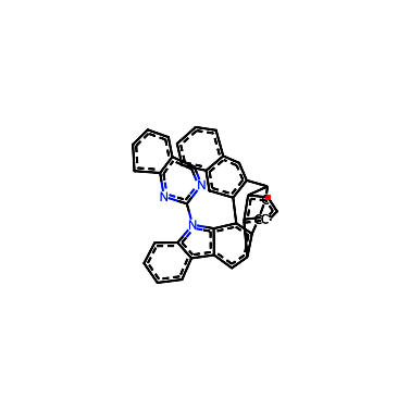 c1ccc2c(c1)-c1cc3c4ccccc4n(-c4ncc5ccccc5n4)c3c3c1CCC2c1cc2ccccc2cc1-3